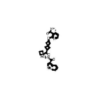 NC(=O)c1cccnc1OC1CC2(C1)CC(C(ONC(=O)c1cnn3ccccc13)C1(O)CCC1)C2